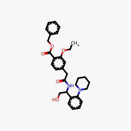 CCOc1cc(CC(=O)NC(CO)c2ccccc2N2CCCCC2)ccc1C(=O)OCc1ccccc1